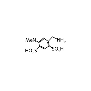 CNc1cc(CN)c(S(=O)(=O)O)cc1S(=O)(=O)O